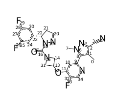 Cc1c(C#N)nn(C)c1-c1cc(OC2CN(C(=O)N3N=CC[C@H]3c3cc(F)cc(F)c3)C2)c(F)cn1